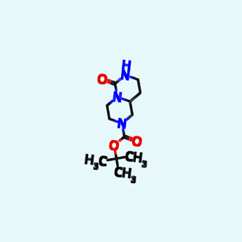 CC(C)(C)OC(=O)N1CCN2C(=O)NCCC2C1